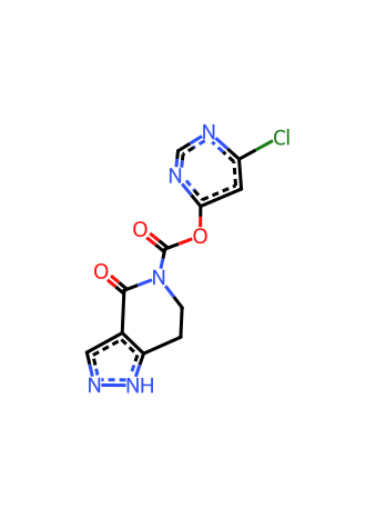 O=C(Oc1cc(Cl)ncn1)N1CCc2[nH]ncc2C1=O